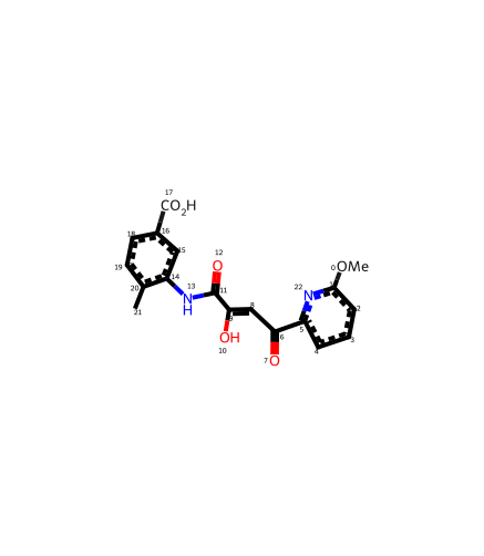 COc1cccc(C(=O)/C=C(\O)C(=O)Nc2cc(C(=O)O)ccc2C)n1